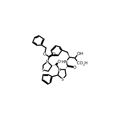 O=C(O)C(O)[C@H](Cc1ccccc1)NC(=O)[C@@H]1CSC(c2ccccc2)N1C(=O)[C@@H]1CSCN1C(=O)OCc1ccccc1